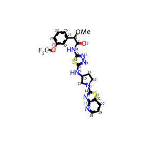 COC(C(=O)Nc1nnc(NC2CCN(c3nc4ncccc4s3)C2)s1)c1cccc(OC(F)(F)F)c1